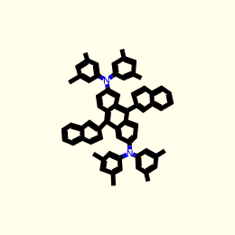 Cc1cc(C)cc(N(c2cc(C)cc(C)c2)c2ccc3c(-c4ccc5ccccc5c4)c4cc(N(c5cc(C)cc(C)c5)c5cc(C)cc(C)c5)ccc4c(-c4ccc5ccccc5c4)c3c2)c1